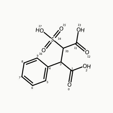 O=C(O)C(c1ccccc1)C(C(=O)O)S(=O)(=O)O